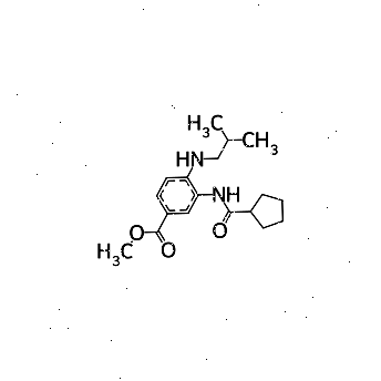 COC(=O)c1ccc(NCC(C)C)c(NC(=O)C2CCCC2)c1